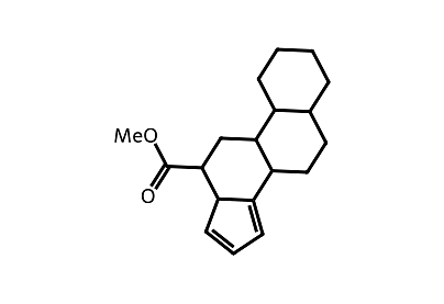 COC(=O)C1CC2C(CCC3CCCCC32)C2=CC=CC21